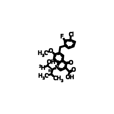 [2H]C(O)[C@H](C(C)C)n1cc(C(=O)O)c(=O)c2cc(Cc3cccc(Cl)c3F)c(OC)cc21